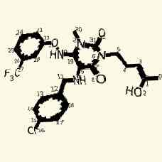 C/C(O)=C/CCn1c(=O)c(NCc2ccc(Cl)cc2)c(NOc2cccc(C(F)(F)F)c2)n(C)c1=O